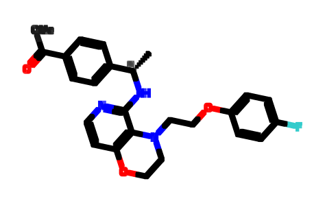 COC(=O)c1ccc([C@H](C)Nc2nccc3c2N(CCOc2ccc(F)cc2)CCO3)cc1